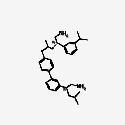 CC(C)C[C@H](CN)c1cccc(-c2ccc(CC(C)C[C@H](CN)c3cccc(C(C)C)c3)cc2)c1